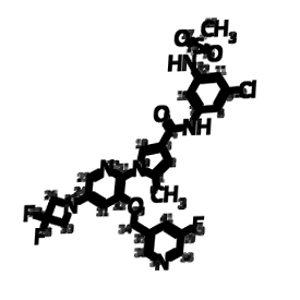 Cc1cc(C(=O)Nc2cc(Cl)cc(NS(C)(=O)=O)c2)cn1-c1ncc(N2CC(F)(F)C2)cc1OCc1cncc(F)c1